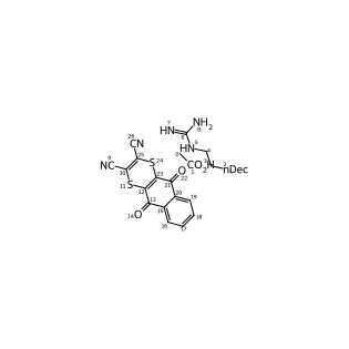 CC(=O)O.CCCCCCCCCCCCNC(=N)N.N#Cc1sc2c(=O)c3ccccc3c(=O)c=2sc1C#N